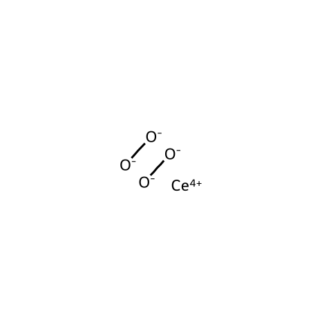 [Ce+4].[O-][O-].[O-][O-]